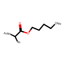 COCCCCOC(=O)C(NC(C)=O)C(C)C